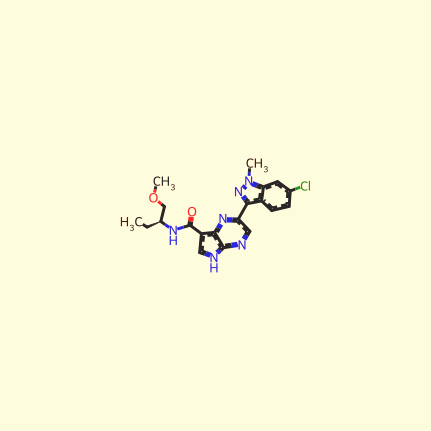 CC[C@@H](COC)NC(=O)c1c[nH]c2ncc(-c3nn(C)c4cc(Cl)ccc34)nc12